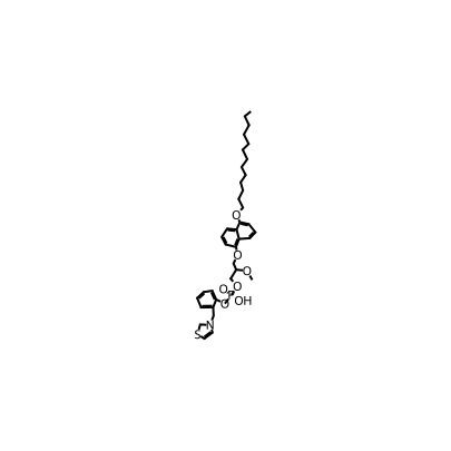 CCCCCCCCCCCCCOc1cccc2c(OCC(COP(=O)(O)Oc3ccccc3CN3C=CSC3)OC)cccc12